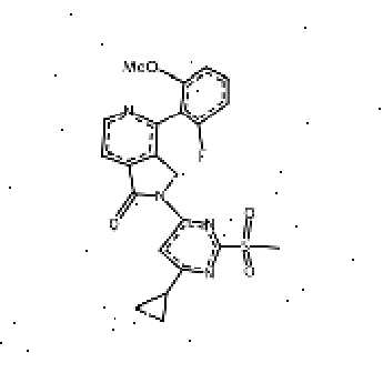 COc1cccc(F)c1-c1nccc2c1CN(c1cc(C3CC3)nc(S(C)(=O)=O)n1)C2=O